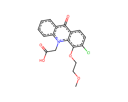 COCCOc1c(Cl)ccc2c(=O)c3ccccc3n(CC(=O)O)c12